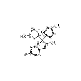 CC(=Cc1ccc(F)cc1)C(O)(c1ccc(C)cc1)C(C)CN(C)C